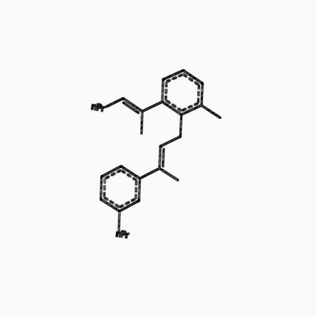 CCC/C=C(\C)c1cccc(C)c1C/C=C(\C)c1cccc(CCC)c1